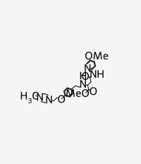 COC(=O)C(CC(=O)Nc1ccc(OC)cn1)NCCc1ccc(OCCN2CCN(C)CC2)cc1